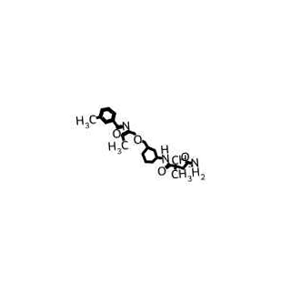 Cc1cccc(-c2nc(COCC3CCCC(NC(=O)C(C)(C)CC(N)=O)C3)c(C)o2)c1